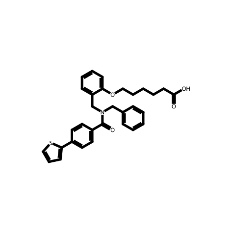 O=C(O)CCCCCOc1ccccc1CN(Cc1ccccc1)C(=O)c1ccc(-c2cccs2)cc1